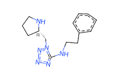 c1ccc(CCNc2nnnn2C[C@@H]2CCCN2)cc1